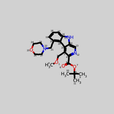 COCc1c(C(=O)OC(C)(C)C)ncc2[nH]c3cccc(CN4CCOCC4)c3c12